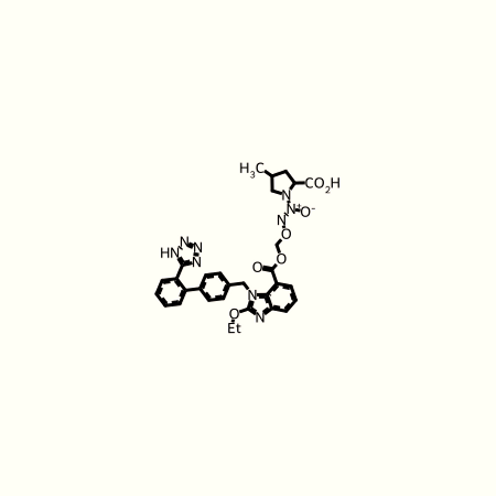 CCOc1nc2cccc(C(=O)OCO/N=[N+](\[O-])N3CC(C)CC3C(=O)O)c2n1Cc1ccc(-c2ccccc2-c2nnn[nH]2)cc1